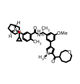 COc1cc(-c2cc(C(=O)C3CCCCOCC3)n(C)c2)cc([C@@H](C)NC(=O)c2cc(N3C[C@H]4CC[C@@H](C3)N4CC3CC3)ccc2C)c1